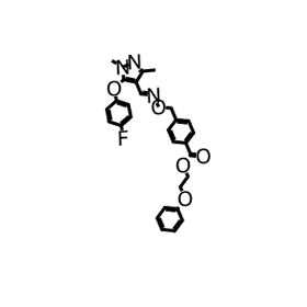 Cc1nn(C)c(Oc2ccc(F)cc2)c1/C=N/OCc1ccc(C(=O)OCCOc2ccccc2)cc1